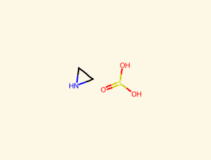 C1CN1.O=S(O)O